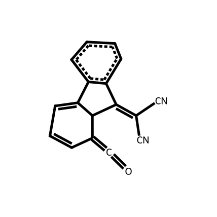 N#CC(C#N)=C1c2ccccc2C2=CC=CC(=C=O)C21